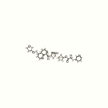 O=C(NCc1cccnc1)O[C@@H]1CC[C@H](C2CC(Nc3nccc4c(COC5CCOC5)ccnc34)=NN2)C1